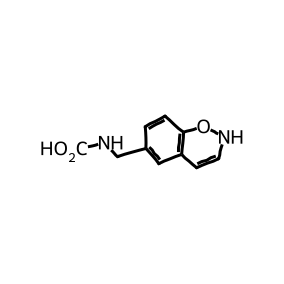 O=C(O)NCc1ccc2c(c1)C=CNO2